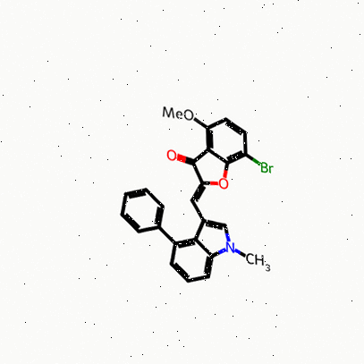 COc1ccc(Br)c2c1C(=O)C(=Cc1cn(C)c3cccc(-c4ccccc4)c13)O2